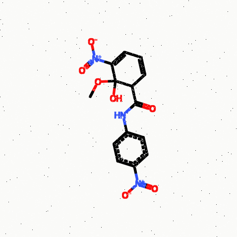 COC1(O)C([N+](=O)[O-])=CC=CC1C(=O)Nc1ccc([N+](=O)[O-])cc1